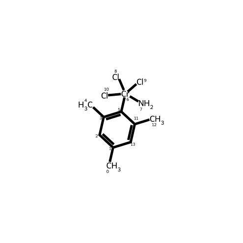 Cc1cc(C)[c]([Cr]([NH2])([Cl])([Cl])[Cl])c(C)c1